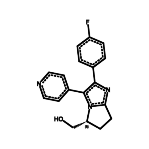 OC[C@H]1CCc2nc(-c3ccc(F)cc3)c(-c3ccncc3)n21